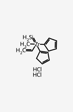 C=[CH][Zr]([CH3])(=[SiH2])([C]1=CC=CC1)[C]1=CC=CC1.Cl.Cl